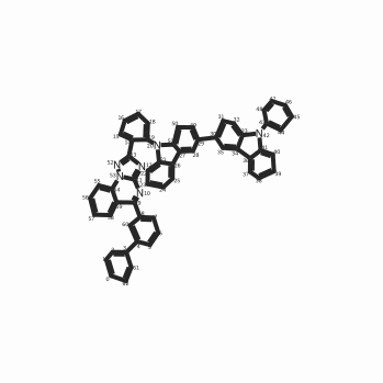 c1ccc(-c2cccc(-c3nc4nc(-c5ccccc5-n5c6ccccc6c6cc(-c7ccc8c(c7)c7ccccc7n8-c7ccccc7)ccc65)nn4c4ccccc34)c2)cc1